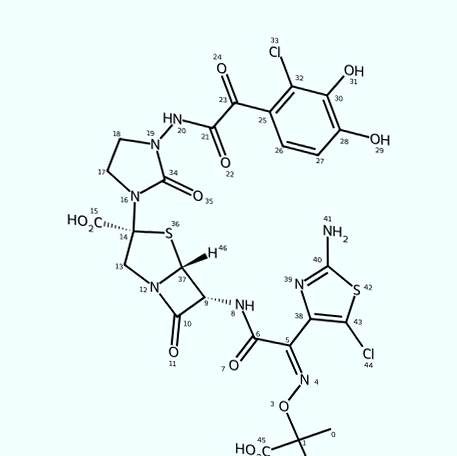 CC(C)(O/N=C(\C(=O)N[C@@H]1C(=O)N2C[C@@](C(=O)O)(N3CCN(NC(=O)C(=O)c4ccc(O)c(O)c4Cl)C3=O)S[C@H]12)c1nc(N)sc1Cl)C(=O)O